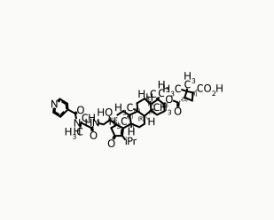 CC(C)C1=C2[C@H]3CC[C@@H]4[C@@]5(C)CC[C@H](OC(=O)[C@H]6C[C@@H](C(=O)O)C6(C)C)C(C)(C)[C@@H]5CC[C@@]4(C)[C@]3(C)CC[C@@]2([C@@H](O)CNC(=O)C(C)(C)NC(=O)c2ccncc2)CC1=O